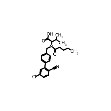 CCCCC(=O)N(Cc1ccc(-c2cc(Cl)ccc2C#N)cc1)C(C(=O)O)C(C)C